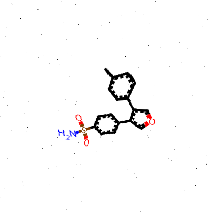 Cc1ccc(-c2cocc2-c2ccc(S(N)(=O)=O)cc2)cc1